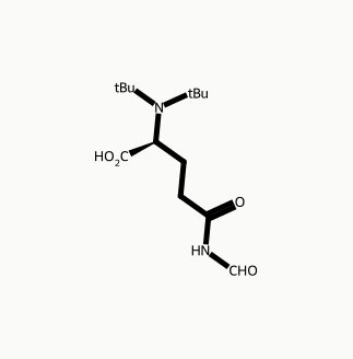 CC(C)(C)N([C@@H](CCC(=O)NC=O)C(=O)O)C(C)(C)C